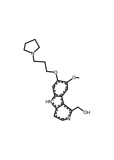 COc1cc2c(cc1OCCCN1CCCC1)[nH]c1ccnc(CO)c12